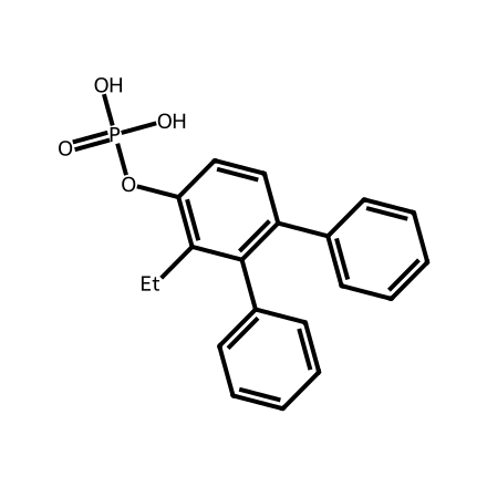 CCc1c(OP(=O)(O)O)ccc(-c2ccccc2)c1-c1ccccc1